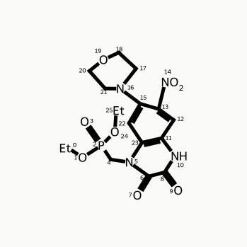 CCOP(=O)(Cn1c(=O)c(=O)[nH]c2cc([N+](=O)[O-])c(N3CCOCC3)cc21)OCC